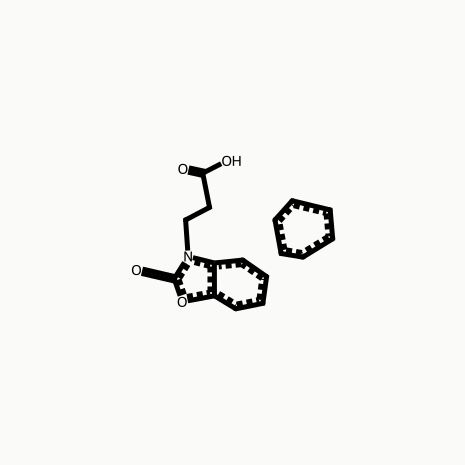 O=C(O)CCn1c(=O)oc2ccccc21.c1ccccc1